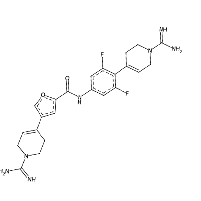 N=C(N)N1CC=C(c2coc(C(=O)Nc3cc(F)c(C4=CCN(C(=N)N)CC4)c(F)c3)c2)CC1